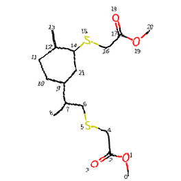 COC(=O)CSCC(C)C1CCC(C)C(SCC(=O)OC)C1